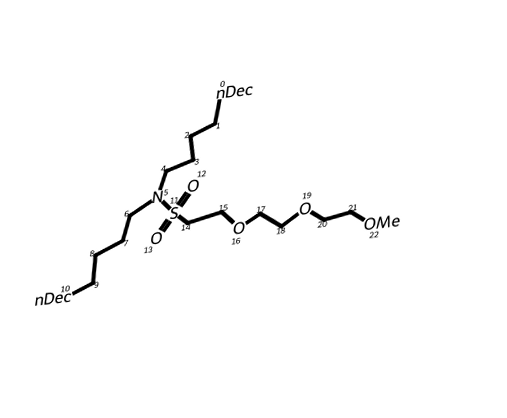 CCCCCCCCCCCCCCN(CCCCCCCCCCCCCC)S(=O)(=O)CCOCCOCCOC